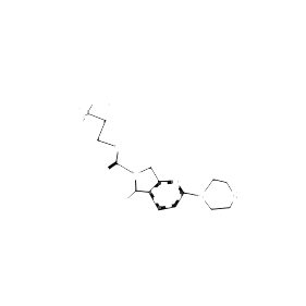 CC1c2ccc(N3CCNCC3)nc2CN1C(=O)OCC[Si](C)(C)C